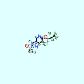 C[C@@H](N[S+]([O-])C(C)(C)C)c1cnc(OCC(F)(F)C(F)F)c(Cl)c1